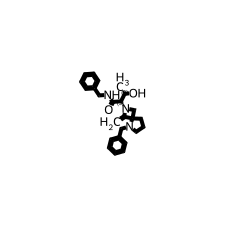 C=C1N([C@H](C(=O)NCc2ccccc2)[C@@H](C)O)CC12CCCN2Cc1ccccc1